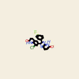 O=c1ccc2nc(-c3cc(Cl)c4[nH]c(=O)ccc4c3)c(-c3ccc(F)cc3)nc2[nH]1